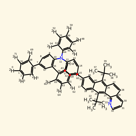 [2H]c1c([2H])c([2H])c(-c2ccc(N(c3ccc(-c4ccc5c(C(C)(C)C)c6c(ccc7cccnc76)c(C(C)(C)C)c5c4)cc3)c3c([2H])c([2H])c([2H])c([2H])c3[2H])c(-c3c([2H])c([2H])c([2H])c([2H])c3[2H])c2)c([2H])c1[2H]